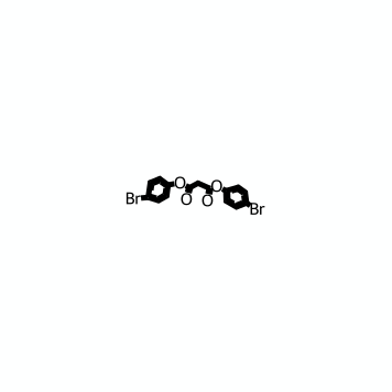 O=C(CC(=O)Oc1ccc(Br)cc1)Oc1ccc(Br)cc1